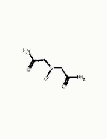 NC(=O)C[S+]([O-])CC(N)=O